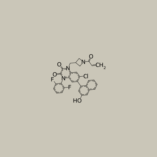 C=CC(=O)N1CC(Cn2c(=O)c(=O)n(-c3c(F)cccc3F)c3cc(-c4cc(O)cc5ccccc45)c(Cl)cc32)C1